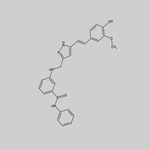 COc1cc(C=Cc2cc(CNc3cccc(C(=O)Nc4ccccc4)c3)n[nH]2)ccc1O